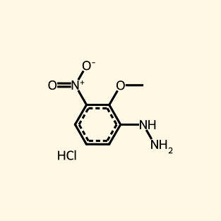 COc1c(NN)cccc1[N+](=O)[O-].Cl